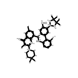 Cc1cc([C@@H](C)Nc2cccc(F)c2-c2ccc(C=O)c(B3OC(C)(C)C(C)(C)O3)c2)c2oc(N3CCC(C)(C)CC3)c(C)c(=O)c2c1